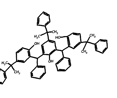 CC(C)(c1ccccc1)c1ccc(O)c(C(c2ccccc2)c2cc(C(C)(C)c3ccccc3)cc(C(c3ccccc3)c3cc(C(C)(C)c4ccccc4)ccc3O)c2O)c1